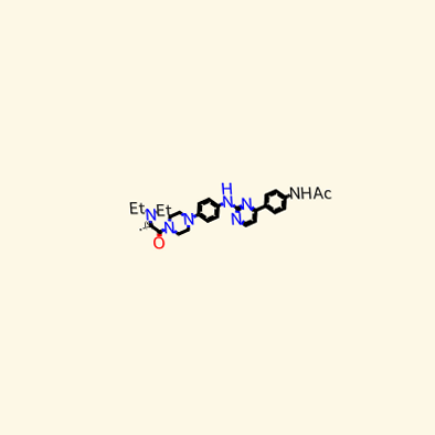 CCN(CC)[C@@H](C)C(=O)N1CCN(c2ccc(Nc3nccc(-c4ccc(NC(C)=O)cc4)n3)cc2)CC1